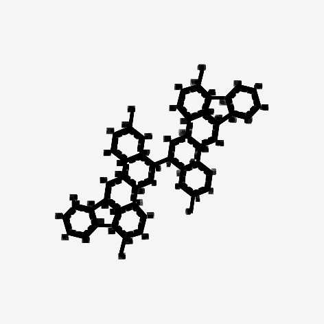 Cc1ccc2c(c1)c(-c1cc3c4ccc(C)c5c4c(cc3c3ccc(C)cc13)-c1ncccc1-5)cc1c3ccc(C)c4c3c(cc21)-c1ccccc1-4